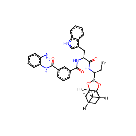 CC(C)C[C@H](NC(=O)[C@H](Cc1c[nH]c2ccccc12)NC(=O)c1cccc(C(=O)Nc2ccccc2N)c1)B1OC2[C@@H]3C[C@H](C[C@]2(C)O1)C3(C)C